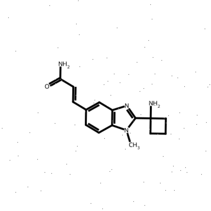 Cn1c(C2(N)CCC2)nc2cc(C=CC(N)=O)ccc21